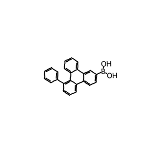 OB(O)c1ccc2c(c1)c1ccccc1c1c(-c3ccccc3)cccc21